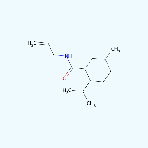 C=CCNC(=O)C1CC(C)CCC1C(C)C